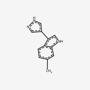 Cc1ccc2c(-c3cn[nH]c3)c[nH]c2c1